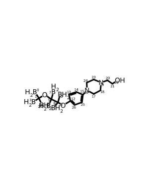 BC(B)(B)OC(B)(B)C(B)(B)Oc1ccc(N2CCN(CCO)CC2)cc1